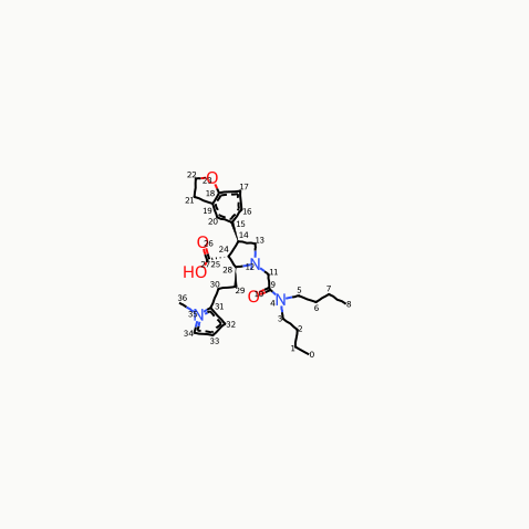 CCCCN(CCCC)C(=O)CN1C[C@H](c2ccc3c(c2)CCO3)[C@@H](C(=O)O)[C@@H]1CCc1cccn1C